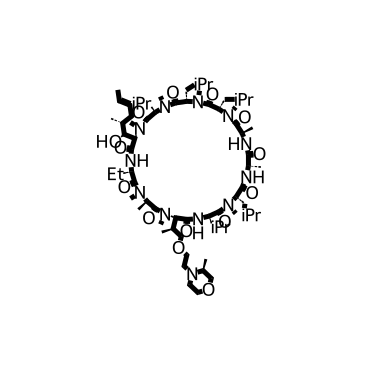 C/C=C/C[C@@H](C)[C@@H](O)[C@H]1C(=O)N[C@@H](CC)C(=O)N(C)[C@H](C)C(=O)N(C)[C@@H]([C@H](C)COCCN2CCOC[C@@H]2C)C(=O)N[C@@H](C(C)C)C(=O)N(C)[C@@H](CC(C)C)C(=O)N[C@@H](C)C(=O)N[C@H](C)C(=O)N(C)[C@@H](CC(C)C)C(=O)N(C)[C@@H](CC(C)C)C(=O)N(C)[C@@H](C(C)C)C(=O)N1C